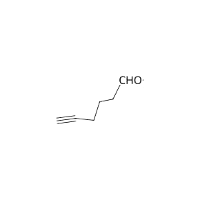 C#CCCC[C]=O